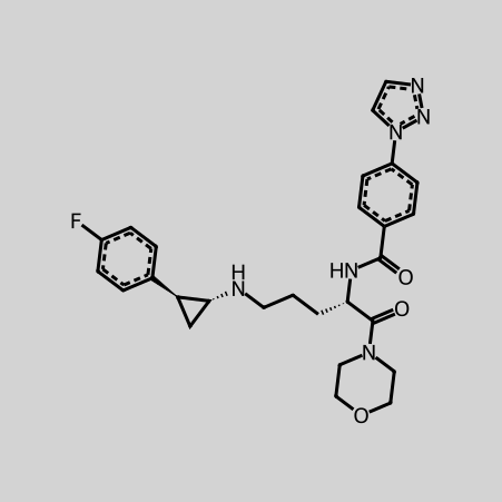 O=C(N[C@@H](CCCN[C@@H]1C[C@H]1c1ccc(F)cc1)C(=O)N1CCOCC1)c1ccc(-n2ccnn2)cc1